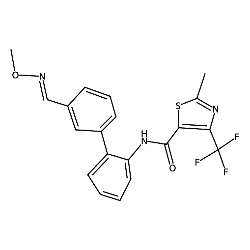 CO/N=C/c1cccc(-c2ccccc2NC(=O)c2sc(C)nc2C(F)(F)F)c1